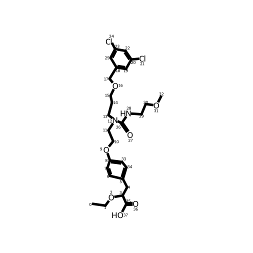 CCOC(Cc1ccc(OCCN(CCCOCc2cc(Cl)cc(Cl)c2)C(=O)NCCOC)cc1)C(=O)O